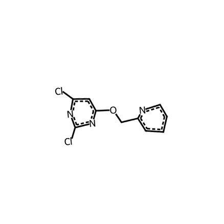 Clc1cc(OCc2ccccn2)nc(Cl)n1